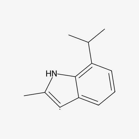 Cc1[c]c2cccc(C(C)C)c2[nH]1